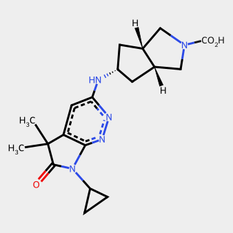 CC1(C)C(=O)N(C2CC2)c2nnc(N[C@@H]3C[C@@H]4CN(C(=O)O)C[C@@H]4C3)cc21